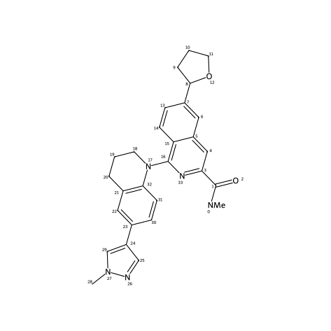 CNC(=O)c1cc2cc(C3CCCO3)ccc2c(N2CCCc3cc(-c4cnn(C)c4)ccc32)n1